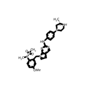 COc1ccc(N(C)S(C)(=O)=O)c(Cn2ccc3cnc(Nc4ccc(N5CCN[C@@H](C)C5)cc4)nc32)c1